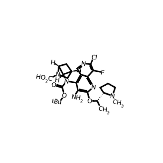 CC(Oc1nc2c(F)c(Cl)ncc2c(N(C(=O)OC(C)(C)C)[C@H]2[C@@H]3C[C@H]2N(C(=O)O)C3)c1N)[C@@H]1CCCN1C